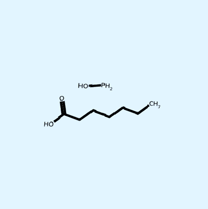 CCCCCCC(=O)O.OP